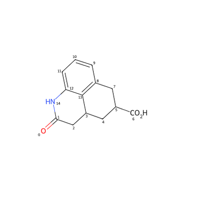 O=C1CC2CC(C(=O)O)Cc3cccc(c32)N1